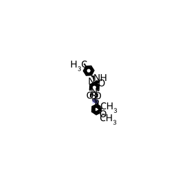 COc1cccc(/C=C/S(=O)(=O)N2CCC3(CC2)N=C([C@H]2CC[C@H](C)CC2)NC3=O)c1C